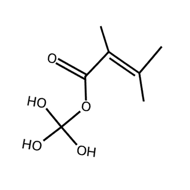 CC(C)=C(C)C(=O)OC(O)(O)O